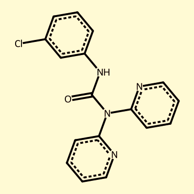 O=C(Nc1cccc(Cl)c1)N(c1ccccn1)c1ccccn1